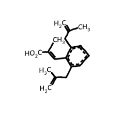 C=C(C)Cc1cccc(CC(=C)C)c1C=C(C)C(=O)O